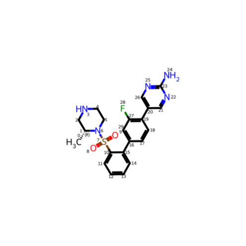 C[C@@H]1CNCCN1S(=O)(=O)c1ccccc1-c1ccc(-c2cnc(N)nc2)c(F)c1